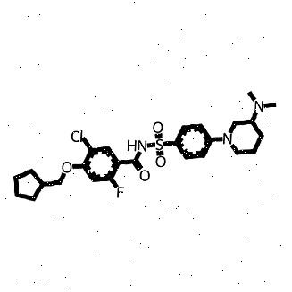 CN(C)C1CCCN(c2ccc(S(=O)(=O)NC(=O)c3cc(Cl)c(OCC4CCCC4)cc3F)cc2)C1